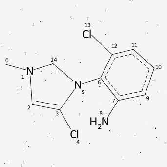 CN1C=C(Cl)N(c2c(N)cccc2Cl)C1